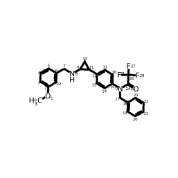 COc1cccc(CNC2CC2c2ccc(N(Cc3ccccc3)C(=O)C(F)(F)F)cc2)c1